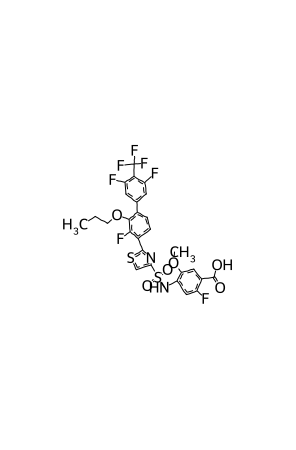 CCCOc1c(-c2cc(F)c(C(F)(F)F)c(F)c2)ccc(-c2nc(S(=O)(=O)Nc3cc(F)c(C(=O)O)cc3OC)cs2)c1F